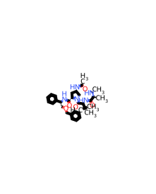 CN[C@@H](C)C(=O)N[C@H](C(=O)N1C[C@@H](NC(C)=O)C[C@H]1C(=O)N[C@H](COCc1ccccc1)c1ccccc1)C(C)(C)C